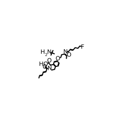 CC(C)(C)N.CC=CC=CC(=O)N1CCc2ccc(OCCc3nc(/C=C/CCCF)oc3C)cc2C1C(=O)O